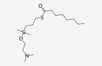 CCCCCCCC(=O)SCCC[Si](C)(C)OCCN(C)C